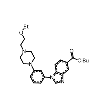 CCOCCN1CCN(c2cccc(-n3cnc4cc(C(=O)OCC(C)C)ccc43)c2)CC1